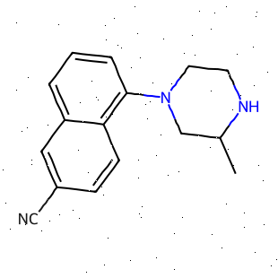 CC1CN(c2cccc3cc(C#N)ccc23)CCN1